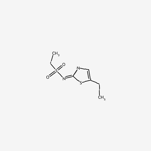 CCC1=C[N]C(=NS(=O)(=O)CC)S1